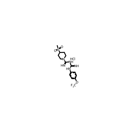 CS(=O)(=O)C1CCN(C(=N)NC(=N)Nc2ccc(OC(F)(F)F)cc2)CC1.Cl